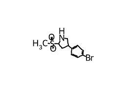 CS(=O)(=O)C1CC(c2ccc(Br)cc2)CN1